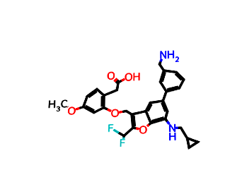 COc1ccc(CC(=O)O)c(OCc2c(C(F)F)oc3c(NCC4CC4)cc(-c4cccc(CN)c4)cc23)c1